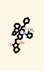 Cc1ccccc1N1c2ccc(/C=C3/C(=O)c4ccccc4C3O)cc2C2(c3ccccc3-c3ccccc32)c2cc(-c3ccccc3)sc21